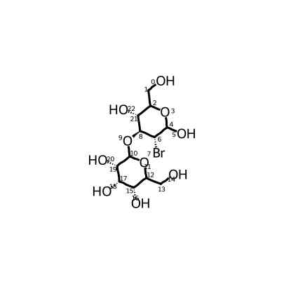 OCC1OC(O)[C@H](Br)[C@@H](OC2OC(CO)[C@H](O)[C@H](O)[C@@H]2O)[C@@H]1O